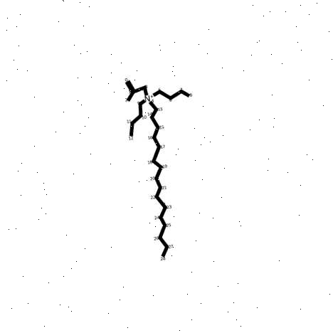 C=C(C)C[N+](CCCC)(CCCC)CCCCCCCCCCCCCCCC